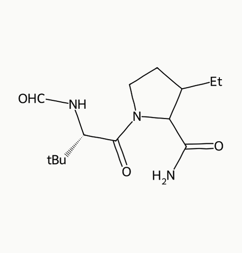 CCC1CCN(C(=O)[C@@H](NC=O)C(C)(C)C)C1C(N)=O